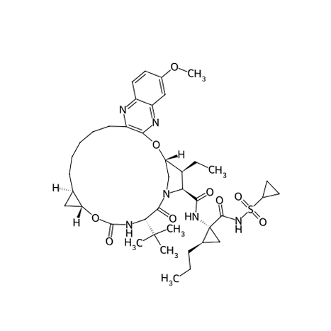 CCC[C@@H]1C[C@]1(NC(=O)[C@@H]1[C@H](CC)[C@@H]2CN1C(=O)[C@H](C(C)(C)C)NC(=O)O[C@@H]1C[C@H]1CCCCCc1nc3ccc(OC)cc3nc1O2)C(=O)NS(=O)(=O)C1CC1